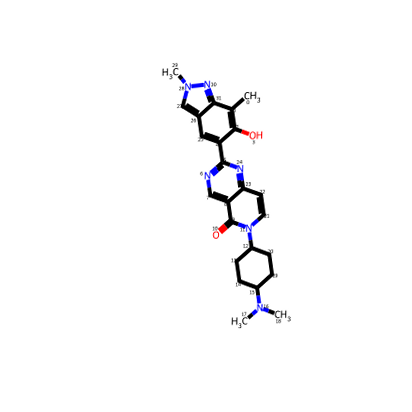 Cc1c(O)c(-c2ncc3c(=O)n(C4CCC(N(C)C)CC4)ccc3n2)cc2cn(C)nc12